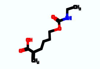 C=C(CCCCOC(=O)NCC)C(=O)O